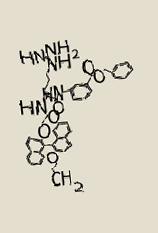 C=CCOc1ccc2ccccc2c1-c1c(OCC(=O)N[C@H](CCCNC(=N)N)C(=O)Nc2cccc(C(=O)OCc3ccccc3)c2)ccc2ccccc12